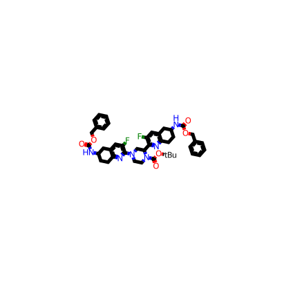 CC(C)(C)OC(=O)N1CCN(c2nc3c(cc2F)CC(NC(=O)OCc2ccccc2)CC3)CC1c1nc2c(cc1F)CC(NC(=O)OCc1ccccc1)CC2